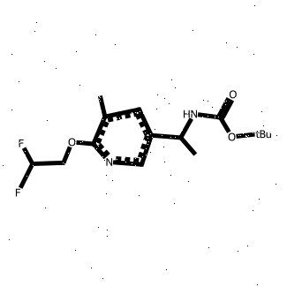 Cc1cc(C(C)NC(=O)OC(C)(C)C)cnc1OCC(F)F